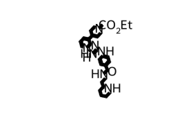 CCOC(=O)N1CC=C(c2ccc[nH]/c2=N\C(=N)Nc2ccc(C(=O)NCCC3CCCCN3)cc2)CC1